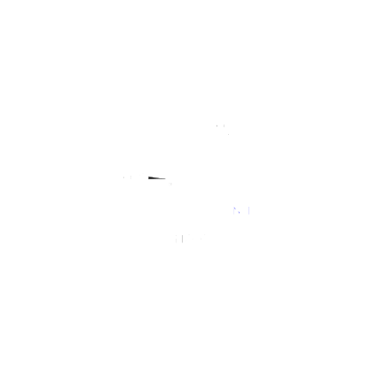 N[C@H](C(=O)O)C1C(C(=O)O)[C@@H]1C(=O)O